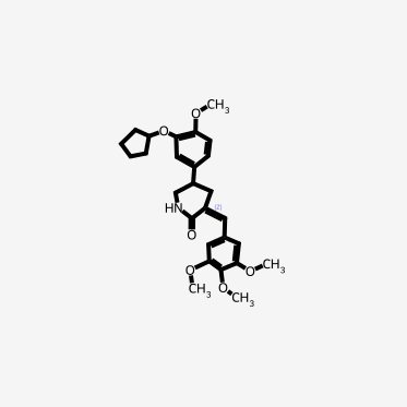 COc1ccc(C2CNC(=O)/C(=C\c3cc(OC)c(OC)c(OC)c3)C2)cc1OC1CCCC1